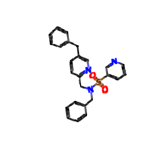 O=S(=O)(c1cccnc1)N(Cc1ccccc1)Cc1ccc(Cc2ccccc2)cn1